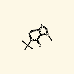 Cn1cnc2cnn(C(C)(C)C)c(=O)c21